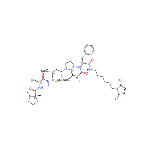 CC[C@H](C)[C@@H]([C@@H](CC(=O)N1CCC[C@H]1C(OC)[C@@H](C)C(=O)N[C@@H](Cc1ccccc1)C(=O)NCCCCCCN1C(=O)C=CC1=O)OC)N(C)C(=O)[C@@H](NC(=O)[C@]1(C)CCCN1C)C(C)C